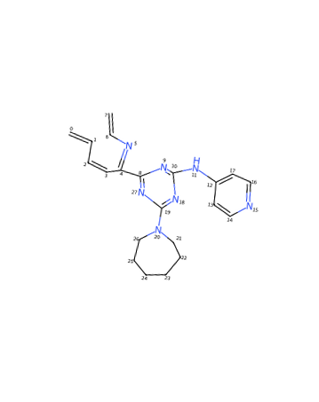 C=C/C=C\C(=N/C=C)c1nc(Nc2ccncc2)nc(N2CCCCCC2)n1